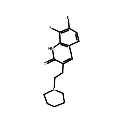 O=c1[nH]c2c(F)c(F)ccc2cc1CCN1CC[CH]CC1